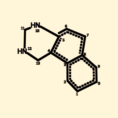 c1ccc2c3c(ccc2c1)NCNC3